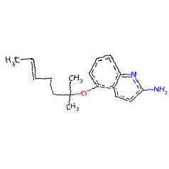 CC=CCCC(C)(C)Oc1cccc2nc(N)ccc12